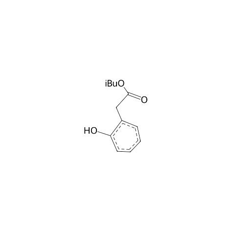 CC(C)COC(=O)Cc1ccccc1O